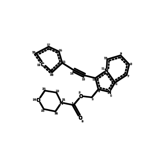 O=C(OCc1nc2ccccn2c1C#Cc1ccccc1)N1CCOCC1